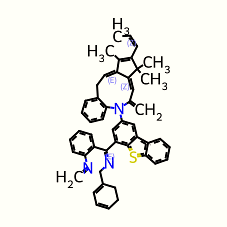 C=Nc1ccccc1/C(=N\CC1=CC=CCC1)c1cc(N2C(=C)/C=C3\C(=C/Cc4ccccc42)C(C)=C(/C=C\C)C3(C)C)cc2c1sc1ccccc12